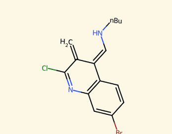 C=c1c(Cl)nc2cc(Br)ccc2/c1=C/NCCCC